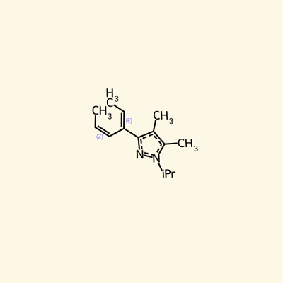 C/C=C\C(=C/C)c1nn(C(C)C)c(C)c1C